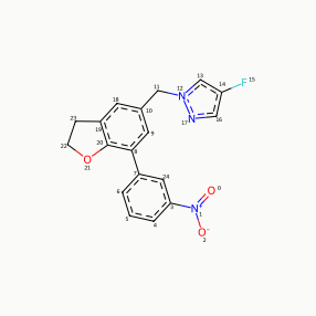 O=[N+]([O-])c1cccc(-c2cc(Cn3cc(F)cn3)cc3c2OCC3)c1